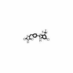 O=C1NC(=O)/C(=C\c2ccc(-c3nc4c(C(F)(F)F)cc(Cl)cc4[nH]3)cc2)S1